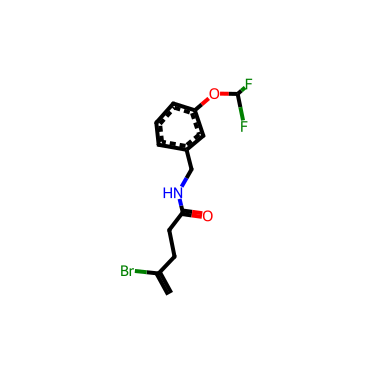 C=C(Br)CCC(=O)NCc1cccc(OC(F)F)c1